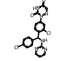 O=c1cnn(-c2ccc(C(Nc3ncccn3)c3ccc(Cl)cc3)c(Cl)c2)c(=O)[nH]1